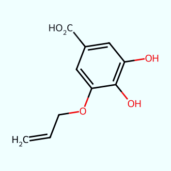 C=CCOc1cc(C(=O)O)cc(O)c1O